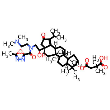 Cc1nnc(C(=O)N(CCN(C)C)C[C@H](O)[C@@]23CC[C@]4(C)[C@H](CC[C@@H]5[C@@]6(C)CC[C@H](OC(=O)CC(C)(C)C(=O)O)C(C)(C)[C@@H]6CC[C@]54C)C2=C(C(C)C)C(=O)C3)o1